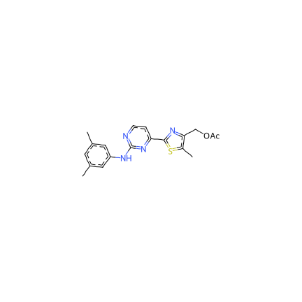 CC(=O)OCc1nc(-c2ccnc(Nc3cc(C)cc(C)c3)n2)sc1C